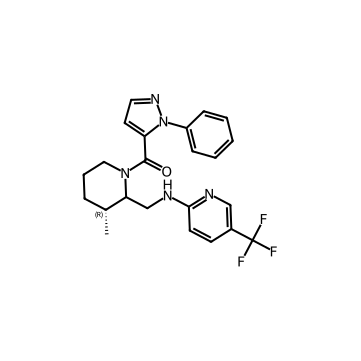 C[C@@H]1CCCN(C(=O)c2ccnn2-c2ccccc2)C1CNc1ccc(C(F)(F)F)cn1